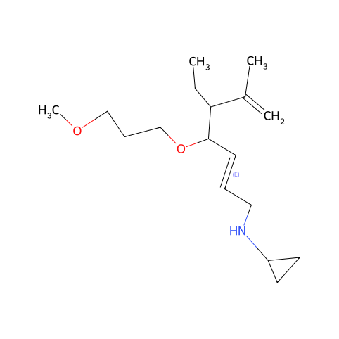 C=C(C)C(CC)C(/C=C/CNC1CC1)OCCCOC